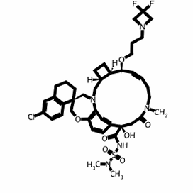 CN1CCC=C[C@H](OCCCN2CC(F)(F)C2)[C@@H]2CC[C@H]2CN2C[C@@]3(CCCc4cc(Cl)ccc43)COc3ccc(cc32)[C@@](O)(C(=O)NS(=O)(=O)N(C)C)CC1=O